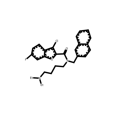 CCN(CC)CCCCN(Cc1ccc2ccccc2c1)C(=O)c1sc2cc(F)ccc2c1Cl